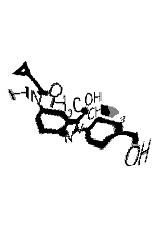 CC(C)(O)c1c2cc(NC(=O)C3CC3)ccc2nn1C1CCC(CO)CC1